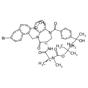 COc1ccc2cc(Br)ccc2c1CN1C(=O)[C@@H](NC(=O)[C@H](C)N(C)C(=O)OC(C)(C)C)CN(C(=O)c2ccc(C(C)(C)O)cc2)c2ccccc21